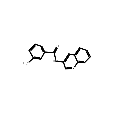 Cc1cccc(C(=O)Nc2cnc3ccccc3c2)c1